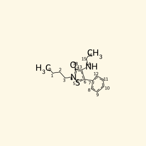 CCCCn1sc(-c2ccccc2)c(NCC)c1=O